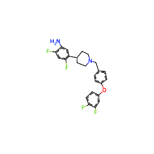 Nc1cc(C2CCN(Cc3ccc(Oc4ccc(F)c(F)c4)cc3)CC2)c(F)cc1F